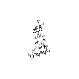 COc1ccc2c(C3CCN(C(=O)OC(C)(C)C)CC3)ncnc2n1